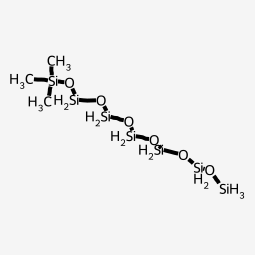 C[Si](C)(C)O[SiH2]O[SiH2]O[SiH2]O[SiH2]O[SiH2]O[SiH3]